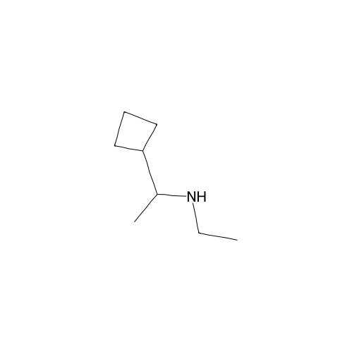 CCNC(C)C1CCC1